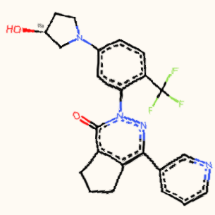 O=c1c2c(c(-c3cccnc3)nn1-c1cc(N3CC[C@H](O)C3)ccc1C(F)(F)F)CCC2